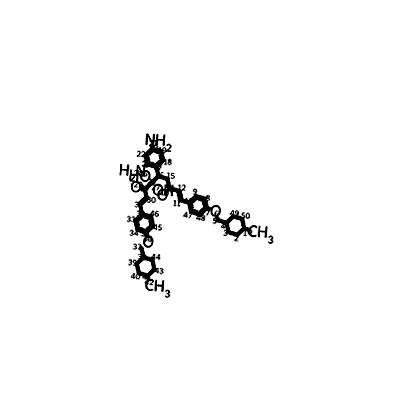 CC1CCC(COc2ccc(/C=C/C(=O)CC(c3ccc(N)cc3N)C(O)(O)C(=O)/C=C/c3ccc(OCC4CCC(C)CC4)cc3)cc2)CC1